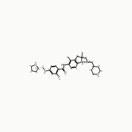 Cc1c(NC(=O)c2ccc(OC[C@@H]3CCCO3)cc2F)ccc2c1CC(C)(CNCC1CCOCC1)N2